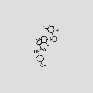 O=C(NC1CCC(O)CC1)c1cnn2ccc(N3CCC[C@@H]3c3cc(F)ccc3F)c(F)c12